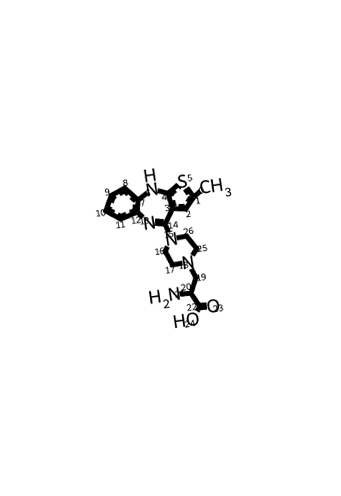 Cc1cc2c(s1)Nc1ccccc1N=C2N1CCN(CC(N)C(=O)O)CC1